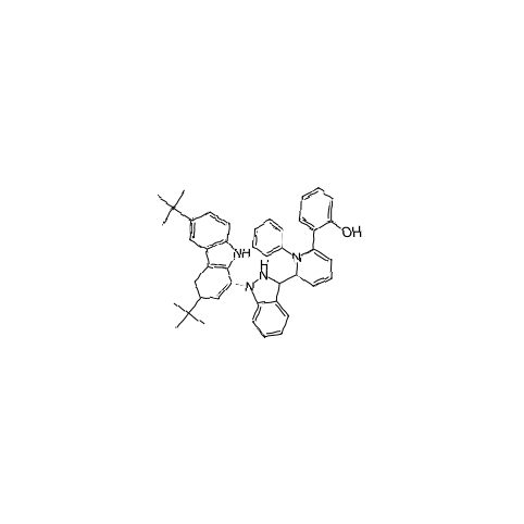 CC(C)(C)c1ccc2[nH]c3c(c2c1)CC(C(C)(C)C)C=C3N1NC(C2C=CC=C(c3ccccc3O)N2c2ccccc2)c2ccccc21